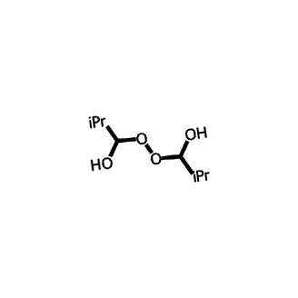 CC(C)C(O)OOC(O)C(C)C